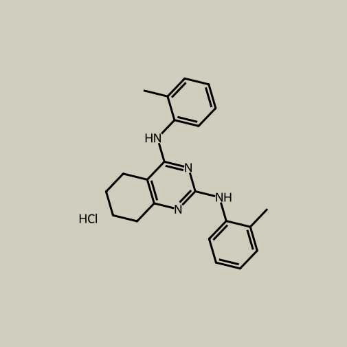 Cc1ccccc1Nc1nc2c(c(Nc3ccccc3C)n1)CCCC2.Cl